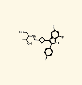 C[C@@H](O)[C@@H](CO)NCC1CC(c2c(-c3ccc(F)cc3)[nH]c3c(F)cc(F)cc23)C1